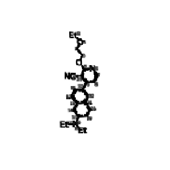 CCOCCOc1nccc(-c2ccc3cc(N(CC)CC)ccc3c2)c1C#N